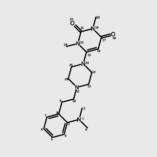 CN(C)c1ccccc1CCN1CCN(c2cc(=O)n(C)c(=O)n2C)CC1